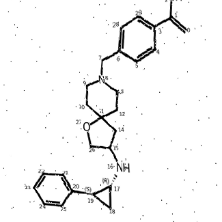 C=C(O)c1ccc(CN2CCC3(CC2)CC(N[C@@H]2C[C@H]2c2ccccc2)CO3)cc1